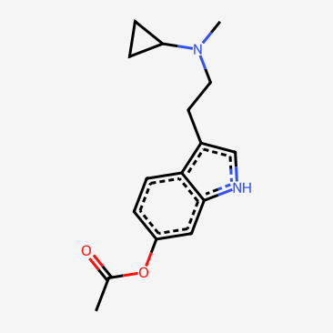 CC(=O)Oc1ccc2c(CCN(C)C3CC3)c[nH]c2c1